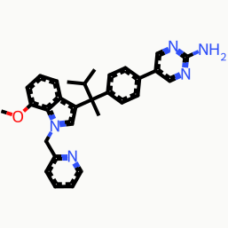 COc1cccc2c(C(C)(c3ccc(-c4cnc(N)nc4)cc3)C(C)C)cn(Cc3ccccn3)c12